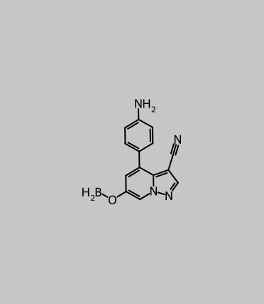 BOc1cc(-c2ccc(N)cc2)c2c(C#N)cnn2c1